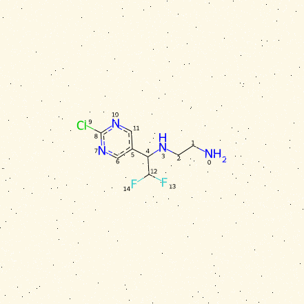 NCCNC(c1cnc(Cl)nc1)C(F)F